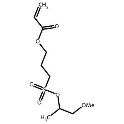 C=CC(=O)OCCCS(=O)(=O)OC(C)COC